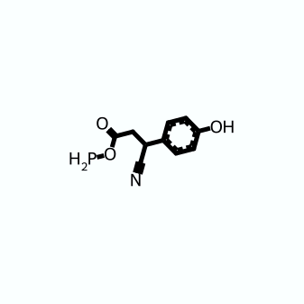 N#CC(CC(=O)OP)c1ccc(O)cc1